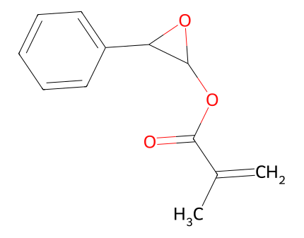 C=C(C)C(=O)OC1OC1c1ccccc1